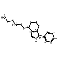 OCCNCCC1CCCc2c1cnn2-c1ccccc1